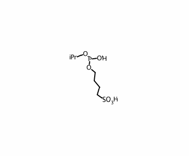 CC(C)OP(O)OCCCCS(=O)(=O)O